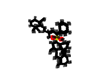 CC(C=CC1=C(C)CCCC1(C)C)=CC(c1ccccc1)S(=O)(=O)C(C=C(C)C=CC1=C(C)CCCC1(C)C)c1ccccc1